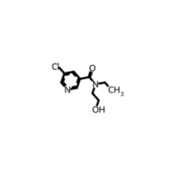 CCN(CCO)C(=O)c1cncc(Cl)c1